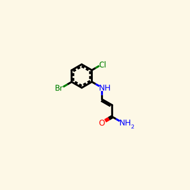 NC(=O)C=CNc1cc(Br)ccc1Cl